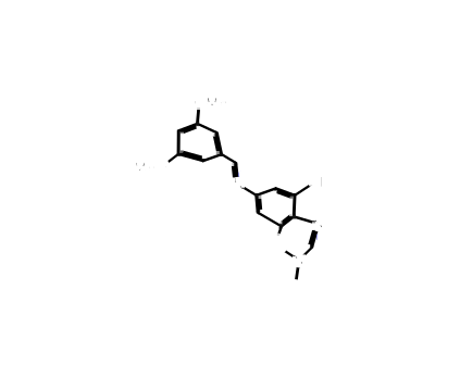 COc1cc(/C=N/c2cc(Cl)c(/N=C\N(C)C)c(Cl)c2)cc(OC)c1